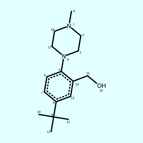 CN1CCN(c2ccc(C(C)(C)C)cc2CO)CC1